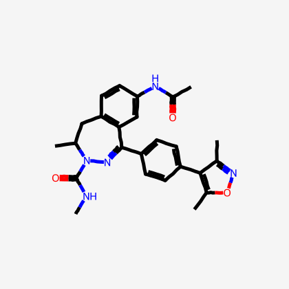 CNC(=O)N1N=C(c2ccc(-c3c(C)noc3C)cc2)c2cc(NC(C)=O)ccc2CC1C